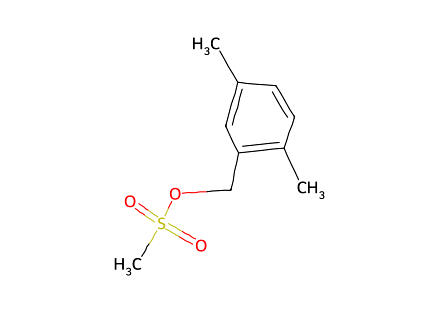 Cc1ccc(C)c(COS(C)(=O)=O)c1